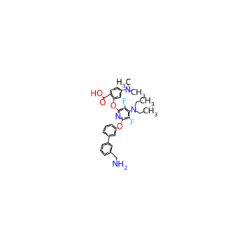 CCN(CC)c1c(F)c(Oc2cccc(-c3cccc(CN)c3)c2)nc(Oc2cc(N(C)C)ccc2C(=O)O)c1F